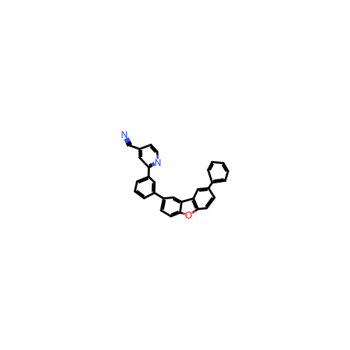 N#Cc1ccnc(-c2cccc(-c3ccc4oc5ccc(-c6ccccc6)cc5c4c3)c2)c1